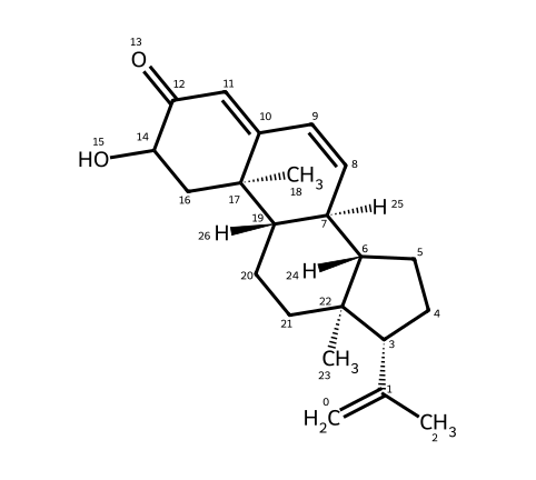 C=C(C)[C@H]1CC[C@H]2[C@@H]3C=CC4=CC(=O)C(O)C[C@]4(C)[C@H]3CC[C@]12C